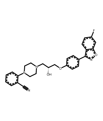 N#Cc1ccccc1N1CCN(C[C@@H](O)COc2ccc(-c3noc4cc(F)ccc34)cc2)CC1